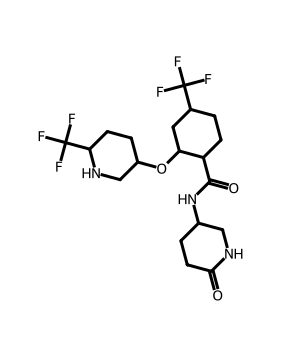 O=C1CCC(NC(=O)C2CCC(C(F)(F)F)CC2OC2CCC(C(F)(F)F)NC2)CN1